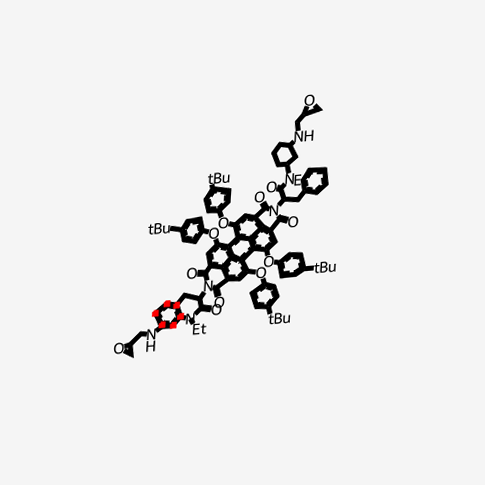 CCN(C(=O)C(Cc1ccccc1)N1C(=O)c2cc(Oc3ccc(C(C)(C)C)cc3)c3c4c(Oc5ccc(C(C)(C)C)cc5)cc5c6c(cc(Oc7ccc(C(C)(C)C)cc7)c(c7c(Oc8ccc(C(C)(C)C)cc8)cc(c2c37)C1=O)c64)C(=O)N(C(Cc1ccccc1)C(=O)N(CC)C1CCCC(NCC2CO2)C1)C5=O)C1CCCC(NCC2CO2)C1